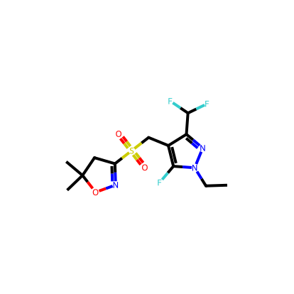 CCn1nc(C(F)F)c(CS(=O)(=O)C2=NOC(C)(C)C2)c1F